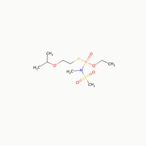 CCOP(=O)(SCCOC(C)C)N(C)S(C)(=O)=O